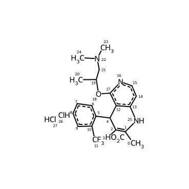 CC1=C(C(=O)O)C(c2ccccc2C(F)(F)F)c2c(ccnc2OC(C)CN(C)C)N1.Cl.Cl